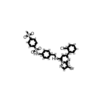 CS(=O)(=O)c1ccc(S(=O)(=O)Nc2ccc(CNc3cc(-c4ccccc4Cl)nc4c(Br)cnn34)cc2)cc1